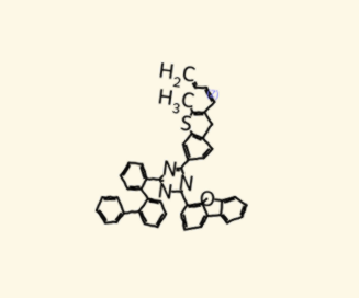 C=C/C=C\C1=C(C)Sc2cc(-c3nc(-c4ccccc4-c4ccccc4-c4ccccc4)nc(-c4cccc5c4oc4ccccc45)n3)ccc2C1